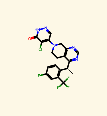 C[C@H](c1ccc(F)cc1C(F)(F)F)c1ncnc2c1CCN(c1cn[nH]c(=O)c1Cl)C2